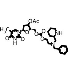 CC(=O)OC1C[C@H](n2cc(C)c(=O)[nH]c2=O)O[C@@H]1COC(=O)OCCN(Cc1ccccc1)CC1CCCCN1